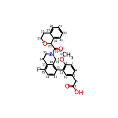 COc1ccc(CC(=O)O)cc1-c1ccc(F)c2c1CN(C(=O)C1OCCc3ccccc31)CC2